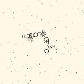 CS(=O)(=O)Nc1ccc(Cc2noc(C3CCN(CCC(N)c4ccccc4)CC3)n2)cc1